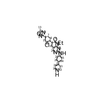 CCn1c(=O)c(-c2ccc(-c3noc(C)n3)cc2Cl)cc2cnc(Nc3ccc(C4=CCNCC4)cc3)nc21